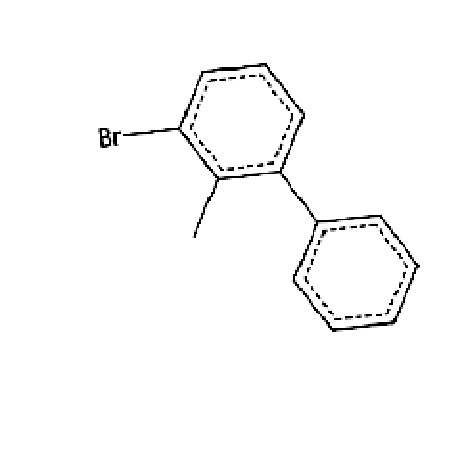 Cc1c(Br)cccc1-c1ccccc1